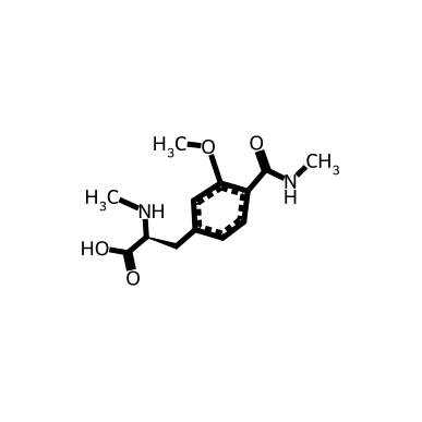 CNC(=O)c1ccc(C[C@H](NC)C(=O)O)cc1OC